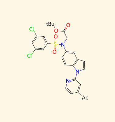 CC(=O)c1ccnc(-n2ccc3cc(N(CC(=O)OC(C)(C)C)S(=O)(=O)c4cc(Cl)cc(Cl)c4)ccc32)c1